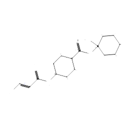 C/C=C/C(=O)OC1CCC(C(=O)OC2(CCCCC)CCCCC2)CC1